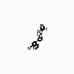 C[C@@H]1C[C@@H](c2ccc(C#N)c3ncccc23)CN(C(=O)C[C@@H]2[C@H]3CN(C)C[C@@H]23)C1